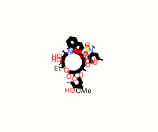 CC[C@H]1OC(=O)[C@H](C)[C@@H](O[C@H]2C[C@@](C)(OC)[C@@H](O)[C@H](C)O2)[C@H](C)[C@@H](O[C@@H]2O[C@H](C)C[C@H](N(C)S(=O)(=O)c3ccc4ccccc4c3)[C@H]2O)[C@](C)(O)C[C@@H](C)CN(C)[C@H](C)[C@@H](O)[C@]1(C)O